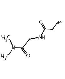 CC(C)CC(=O)NCC(=O)N(C)C